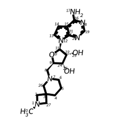 CN1CC2(CCCN(C[C@H]3O[C@@H](n4ccc5c(N)ncnc54)[C@H](O)[C@@H]3O)C2)C1